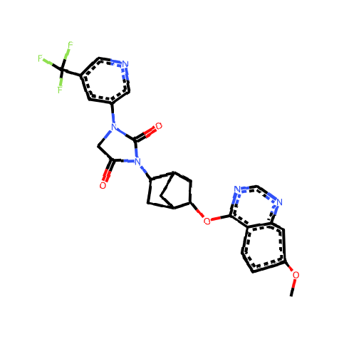 COc1ccc2c(OC3CC4CC3CC4N3C(=O)CN(c4cncc(C(F)(F)F)c4)C3=O)ncnc2c1